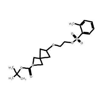 Cc1ccccc1S(=O)(=O)OCCOC1CC2(C1)CN(C(=O)OC(C)(C)C)C2